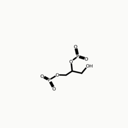 O=P(=O)OCC(CO)OP(=O)=O